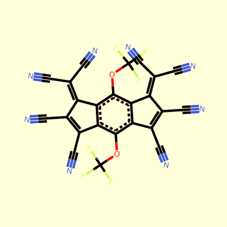 N#CC(C#N)=C1C(C#N)=C(C#N)c2c(OC(F)(F)F)c3c(c(OC(F)(F)F)c21)C(=C(C#N)C#N)C(C#N)=C3C#N